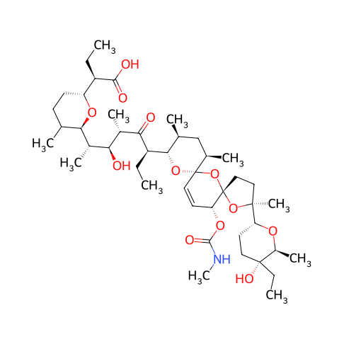 CC[C@@H](C(=O)[C@@H](C)[C@@H](O)[C@H](C)[C@@H]1O[C@@H]([C@@H](CC)C(=O)O)CCC1C)[C@H]1O[C@]2(C=C[C@@H](OC(=O)NC)[C@]3(CC[C@@](C)([C@H]4CC[C@](O)(CC)[C@H](C)O4)O3)O2)[C@H](C)C[C@@H]1C